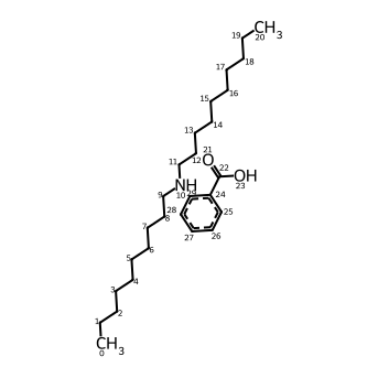 CCCCCCCCCCNCCCCCCCCCC.O=C(O)c1ccccc1